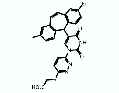 CCc1ccc2c(c1)C=Cc1cc(C)ccc1C2c1cn(-c2ccc(SCC(=O)O)nn2)c(=O)[nH]c1=O